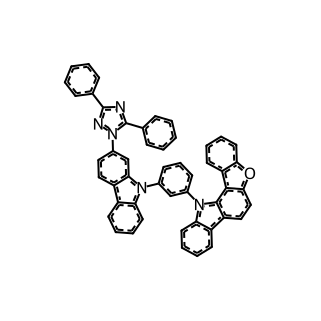 c1ccc(-c2nc(-c3ccccc3)n(-c3ccc4c5ccccc5n(-c5cccc(-n6c7ccccc7c7ccc8oc9ccccc9c8c76)c5)c4c3)n2)cc1